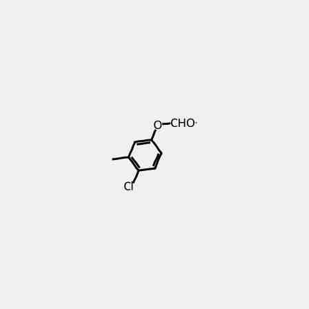 Cc1cc(O[C]=O)ccc1Cl